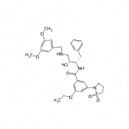 CCOc1cc(C(=O)N[C@@H](Cc2ccccc2)[C@H](O)CNCc2cc(OC)cc(OC)c2)cc(N2CCCS2(=O)=O)c1